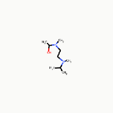 CC(C)N(C)CCN(C)C(C)O